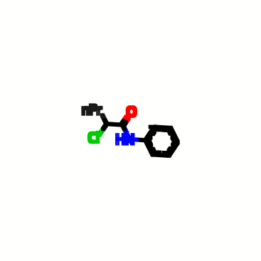 CCCC(Cl)C(=O)Nc1[c]cccc1